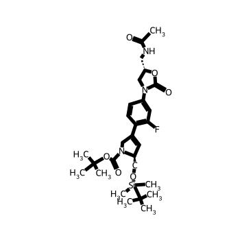 CC(=O)NC[C@H]1CN(c2ccc(C3=C[C@@H](CO[Si](C)(C)C(C)(C)C)N(C(=O)OC(C)(C)C)C3)c(F)c2)C(=O)O1